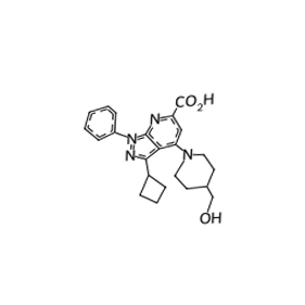 O=C(O)c1cc(N2CCC(CO)CC2)c2c(C3CCC3)nn(-c3ccccc3)c2n1